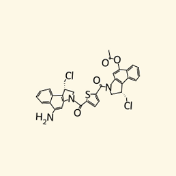 CC(=O)Oc1cc2c(c3ccccc13)[C@H](CCl)CN2C(=O)c1ccc(C(=O)N2C[C@@H](CCl)c3c2cc(N)c2ccccc32)s1